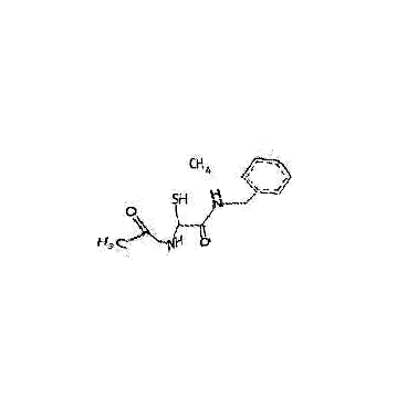 C.CC(=O)NC(S)C(=O)NCc1ccccc1